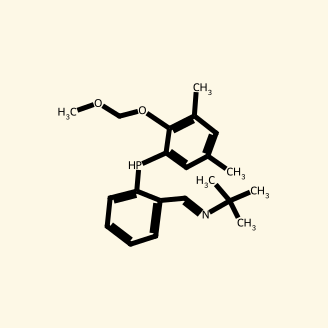 COCOc1c(C)cc(C)cc1Pc1ccccc1/C=N/C(C)(C)C